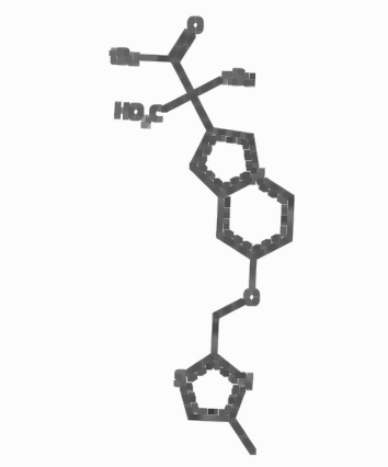 CCCCC(C(=O)O)(C(=O)C(C)(C)C)c1cc2cc(OCc3nc(C)cs3)ccn2c1